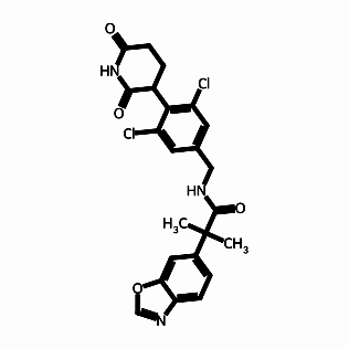 CC(C)(C(=O)NCc1cc(Cl)c(C2CCC(=O)NC2=O)c(Cl)c1)c1ccc2ncoc2c1